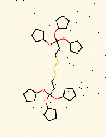 C1CCC(OC(CCSSSCCC(OC2CCCC2)(OC2CCCC2)OC2CCCC2)(OC2CCCC2)OC2CCCC2)C1